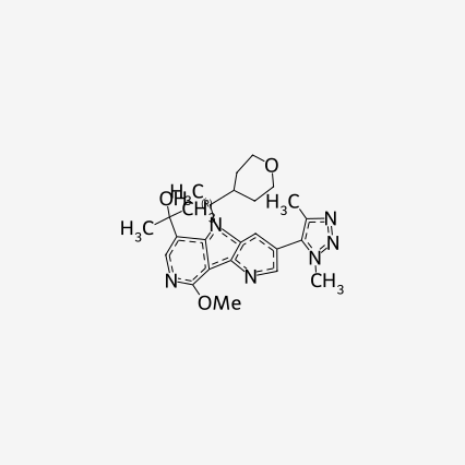 COc1ncc(C(C)(C)O)c2c1c1ncc(-c3c(C)nnn3C)cc1n2[C@H](C)C1CCOCC1